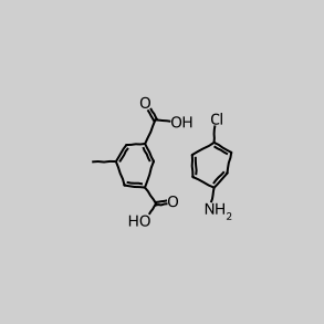 Cc1cc(C(=O)O)cc(C(=O)O)c1.Nc1ccc(Cl)cc1